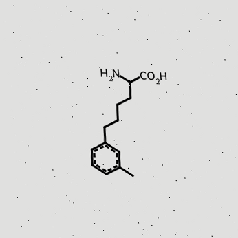 Cc1cccc(CCCCC(N)C(=O)O)c1